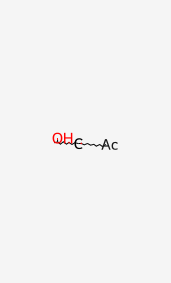 CC(=O)CCCCCCCCCCCCCCCC(C)O